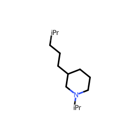 CC(C)CCCC1CCCN(C(C)C)C1